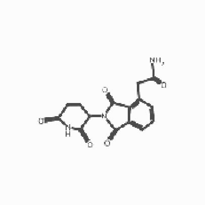 NC(=O)Cc1cccc2c1C(=O)N(C1CCC(=O)NC1=O)C2=O